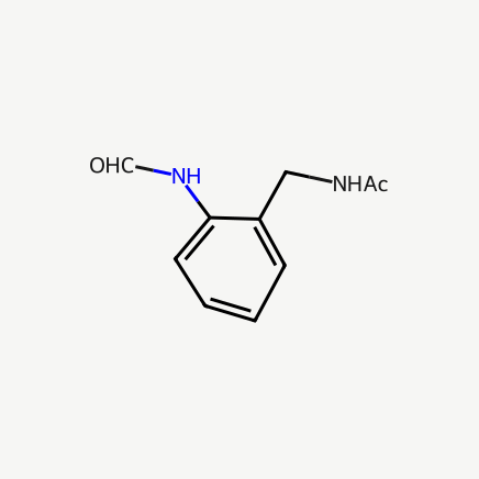 CC(=O)NCc1ccccc1NC=O